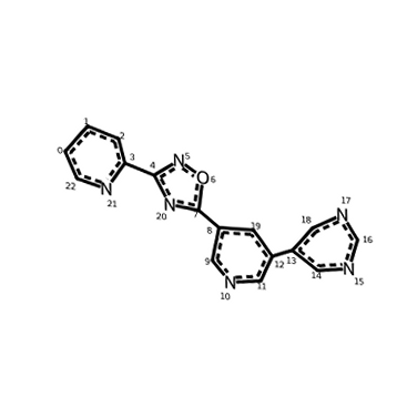 c1ccc(-c2noc(-c3cncc(-c4cncnc4)c3)n2)nc1